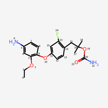 CCOc1cc(N)ccc1Oc1ccc(CC(C)(C)OC(N)=O)c(F)c1